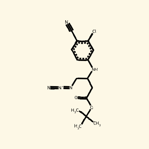 CC(C)(C)OC(=O)CC(CN=[N+]=[N-])Nc1ccc(C#N)c(Cl)c1